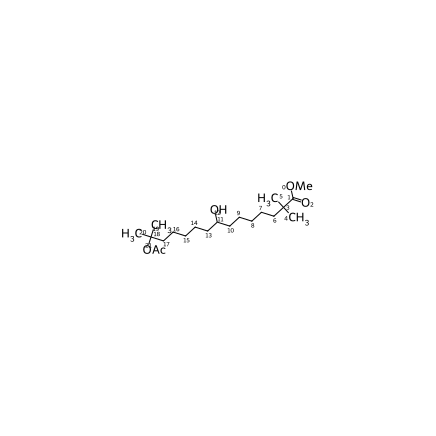 COC(=O)C(C)(C)CCCCCC(O)CCCCCC(C)(C)OC(C)=O